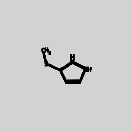 CSC1C=CNN1